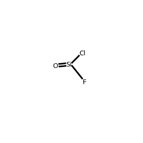 O=[Si](F)Cl